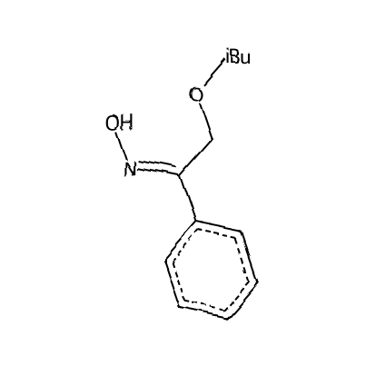 CCC(C)OCC(=NO)c1ccccc1